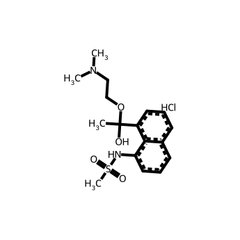 CN(C)CCOC(C)(O)c1cccc2cccc(NS(C)(=O)=O)c12.Cl